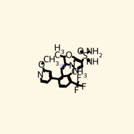 COc1cc(-c2ccc(C(F)(F)F)c(C)c2/C=C2/C(C)Oc3c(S(=N)(N)=O)cnn32)ccn1